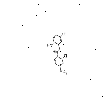 O=[N+]([O-])c1ccc(NCc2cc(Cl)ccc2O)c(Cl)c1